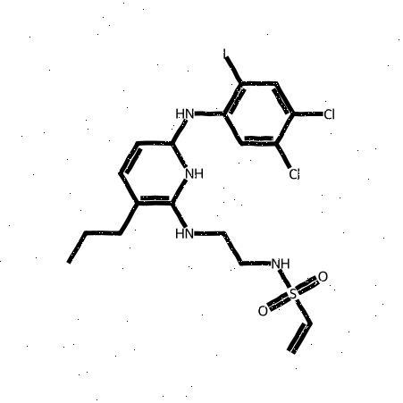 C=CS(=O)(=O)NCCNC1=C(CCC)C=CC(Nc2cc(Cl)c(Cl)cc2I)N1